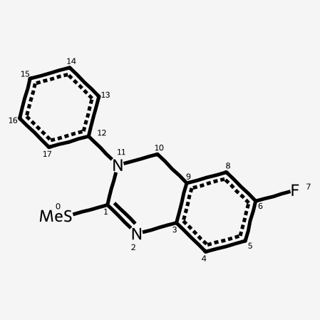 CSC1=Nc2ccc(F)cc2CN1c1ccccc1